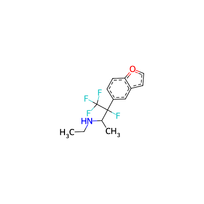 CCNC(C)C(F)(c1ccc2occc2c1)C(F)(F)F